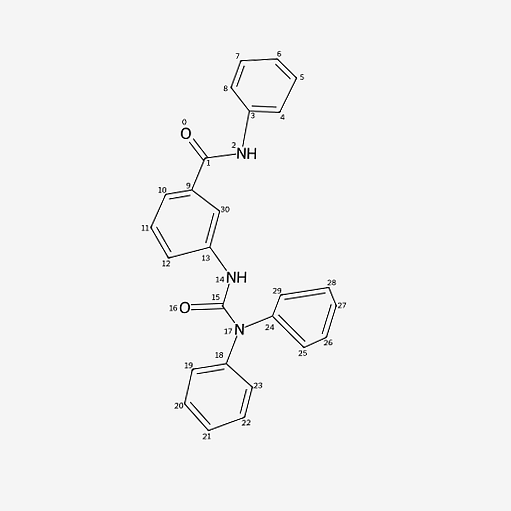 O=C(Nc1ccccc1)c1cccc(NC(=O)N(c2ccccc2)c2ccccc2)c1